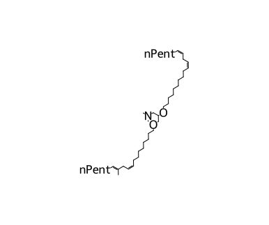 CCCCC/C=C\C/C=C\CCCCCCCCCOC(COCCCCCCCC/C=C\C/C(C)=C/CCCCC)CN(C)C